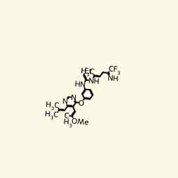 CC/C=C(\N/C(C)=C/CC(=N)C(F)(F)F)Nc1cccc(Oc2ncnc(C=C(C)C)c2/C=C(\C)OC)c1